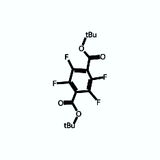 CC(C)(C)OC(=O)c1c(F)c(F)c(C(=O)OC(C)(C)C)c(F)c1F